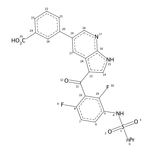 CCCS(=O)(=O)Nc1ccc(F)c(C(=O)c2c[nH]c3ncc(-c4cccc(C(=O)O)c4)cc23)c1F